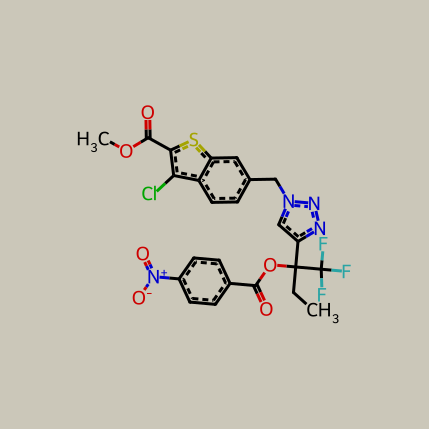 CCC(OC(=O)c1ccc([N+](=O)[O-])cc1)(c1cn(Cc2ccc3c(Cl)c(C(=O)OC)sc3c2)nn1)C(F)(F)F